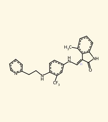 Cc1cccc2c1/C(=C\Nc1ccc(NCCc3ccccn3)c(C(F)(F)F)c1)C(=O)N2